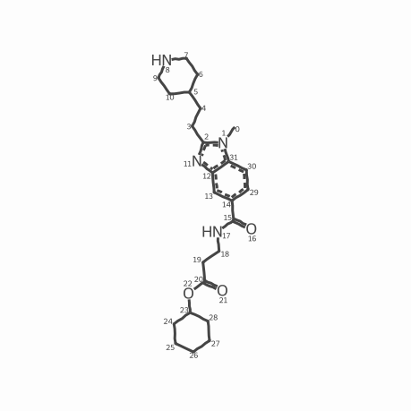 Cn1c(CCC2CCNCC2)nc2cc(C(=O)NCCC(=O)OC3CCCCC3)ccc21